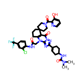 CN(C)C(=O)NC1CC=C(c2nc3n(CC(=O)Nc4ccc(C(F)(F)F)cc4Cl)c4c(c(=O)n3n2)C2(CCC4)CCN(C(=O)c3ncccc3O)CC2)CC1